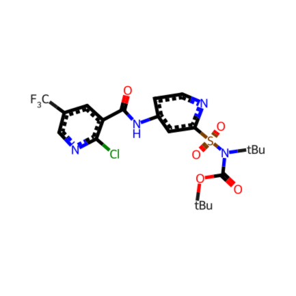 CC(C)(C)OC(=O)N(C(C)(C)C)S(=O)(=O)c1cc(NC(=O)c2cc(C(F)(F)F)cnc2Cl)ccn1